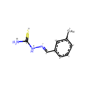 CC(=O)Oc1cccc(C=NNC(N)=S)c1